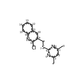 Cc1cc(C)nc(SCc2cc3ccccc3nc2Cl)n1